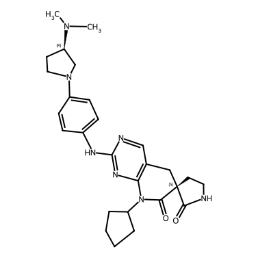 CN(C)[C@@H]1CCN(c2ccc(Nc3ncc4c(n3)N(C3CCCC3)C(=O)[C@]3(CCNC3=O)C4)cc2)C1